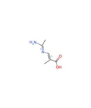 C/C(=C\N=C(/C)N)C(=O)O